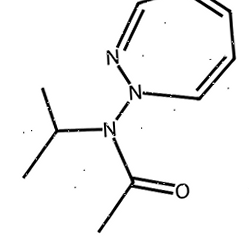 CC(=O)N(C(C)C)N1C=CC=CC=N1